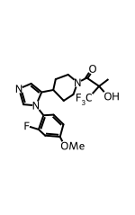 COc1ccc(-n2cncc2C2CCN(C(=O)C(C)(O)C(F)(F)F)CC2)c(F)c1